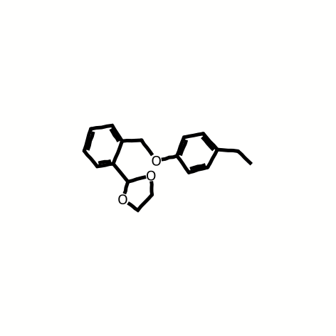 CCc1ccc(OCc2ccccc2C2OCCO2)cc1